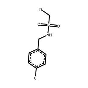 O=S(=O)(CCl)NCc1ccc(Cl)cc1